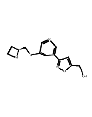 OCc1cc(-c2cncc(OC[C@@H]3CCN3)c2)no1